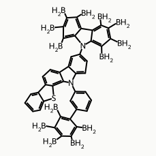 Bc1c(B)c(B)c(-c2cccc(-n3c4ccc(-n5c6c(B)c(B)c(B)c(B)c6c6c(B)c(B)c(B)c(B)c65)cc4c4ccc5c6ccccc6sc5c43)c2)c(B)c1B